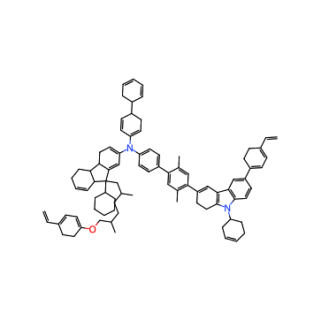 C=CC1=CC=C(OCC(C)CCC(C)CC2(C3CCCCC3)C3=CC(N(C4=CCC(C5C=CC=CC5)C=C4)c4ccc(-c5cc(C)c(C6=Cc7c(n(C8CC=CCC8)c8ccc(C9=CC=C(C=C)CC9)cc78)CC6)cc5C)cc4)=CCC3C3CCC=CC32)CC1